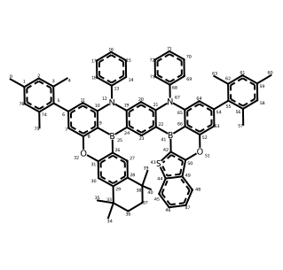 Cc1cc(C)c(-c2cc3c4c(c2)N(c2ccccc2)c2cc5c(cc2B4c2cc4c(cc2O3)C(C)(C)CCC4(C)C)B2c3sc4ccccc4c3Oc3cc(-c4c(C)cc(C)cc4C)cc(c32)N5c2ccccc2)c(C)c1